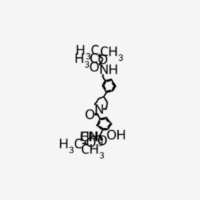 CC(C)(C)ONC(=O)c1cc(C(=O)N2CCC(c3cccc(CNC(=O)OC(C)(C)C)c3)CC2)ccc1O